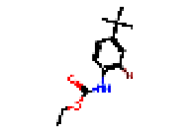 CCOC(=O)Nc1ccc(C(C)(C)C)cc1Br